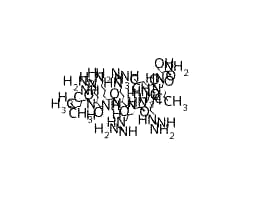 CC(C)C[C@H](NC(=O)[C@H](CC(C)C)NC(=O)[C@H](CCCNC(=N)N)NC(=O)[C@H](CCCNC(=N)N)NC(=O)[C@H](CCCNC(=N)N)NC(=O)[C@H](CCCCN)NC(=O)[C@H](CCCNC(=N)N)NC(=O)[C@@H](C)CC(C)C)C(=O)N[C@@H](CO)C(N)=O